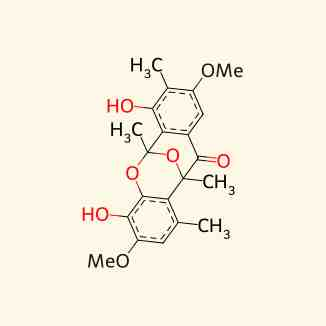 COc1cc2c(c(O)c1C)C1(C)Oc3c(O)c(OC)cc(C)c3C(C)(O1)C2=O